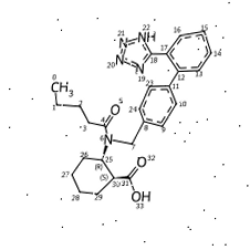 CCCCC(=O)N(Cc1ccc(-c2ccccc2-c2nnn[nH]2)cc1)[C@@H]1CCCC[C@@H]1C(=O)O